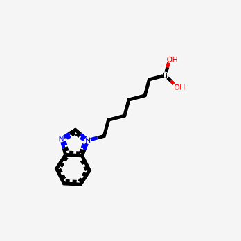 OB(O)CCCCCCn1cnc2ccccc21